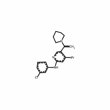 C=C(c1cnc(Nc2cccc(Cl)c2)cc1C(C)C)N1CCCCC1